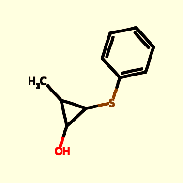 CC1C(O)C1Sc1ccccc1